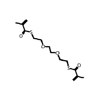 C=C(C)C(=O)SCCOCCOCCSC(=O)C(=C)C